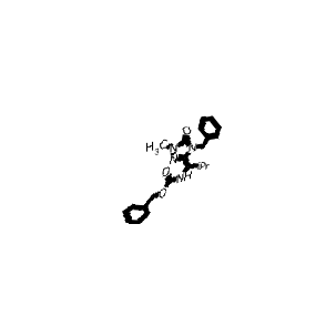 CC(C)C(NC(=O)OCc1ccccc1)c1nn(C)c(=O)n1Cc1ccccc1